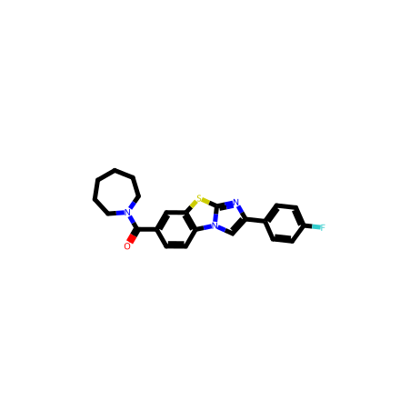 O=C(c1ccc2c(c1)sc1nc(-c3ccc(F)cc3)cn12)N1CCCCCC1